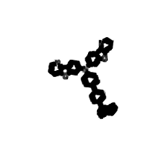 c1cnc2c(c1)oc1cc(N(c3ccc(-c4ccc(C5C6CC7CC6CC75)cc4)cc3)c3ccc4c(c3)oc3cccnc34)ccc12